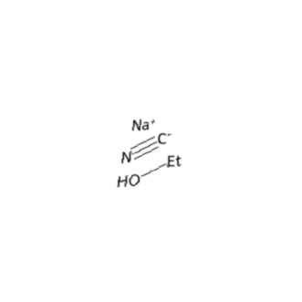 CCO.[C-]#N.[Na+]